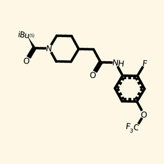 CC[C@H](C)C(=O)N1CCC(CC(=O)Nc2ccc(OC(F)(F)F)cc2F)CC1